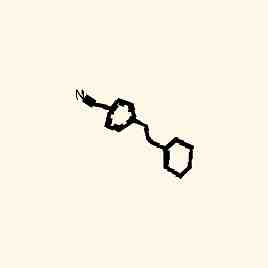 N#Cc1ccc(CCC2=CCCCC2)cc1